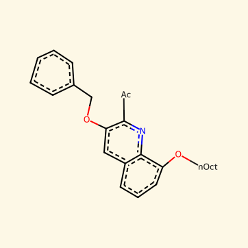 CCCCCCCCOc1cccc2cc(OCc3ccccc3)c(C(C)=O)nc12